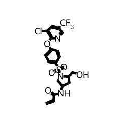 C=CC(=O)NC1CC(CO)N(S(=O)(=O)c2ccc(Oc3ncc(C(F)(F)F)cc3Cl)cc2)C1